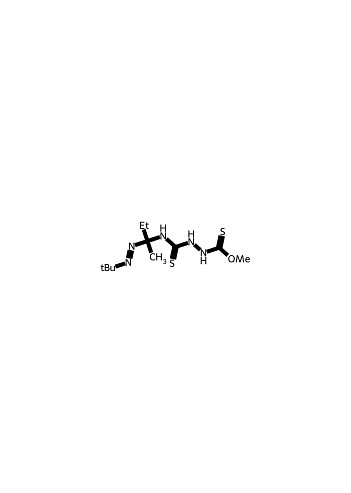 CCC(C)(N=NC(C)(C)C)NC(=S)NNC(=S)OC